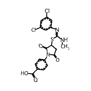 CN/C(=N/c1cc(Cl)cc(Cl)c1)SC1CC(=O)N(c2ccc(C(=O)O)cc2)C1=O